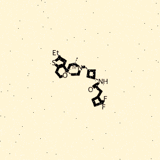 CCc1cc2c(s1)CCO[C@@]21CCN(C[C@H]2C[C@@H](NC(=O)CC3CCC3(F)F)C2)[C@@H](C)C1